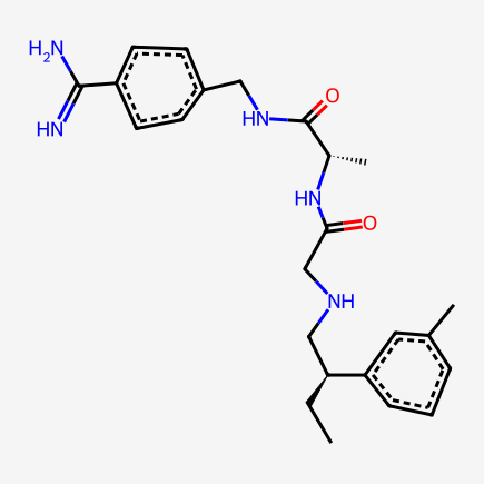 CC[C@@H](CNCC(=O)N[C@@H](C)C(=O)NCc1ccc(C(=N)N)cc1)c1cccc(C)c1